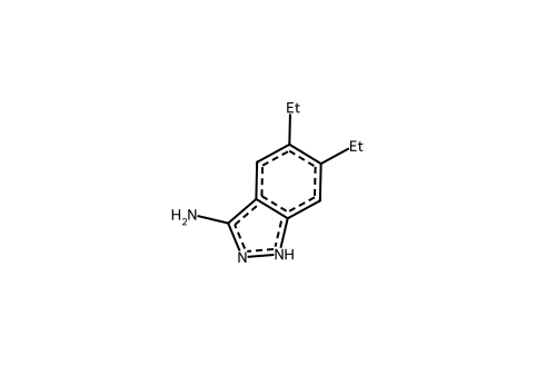 CCc1cc2[nH]nc(N)c2cc1CC